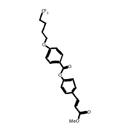 COC(=O)/C=C/c1ccc(OC(=O)c2ccc(OCCCCC(F)(F)F)cc2)cc1